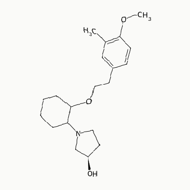 COc1ccc(CCOC2CCCCC2N2CC[C@@H](O)C2)cc1C